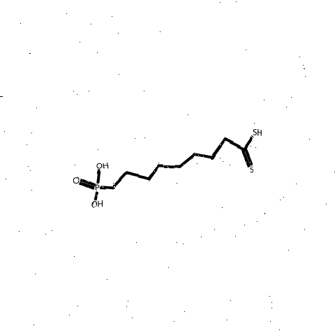 O=P(O)(O)CCCCCCCCC(=S)S